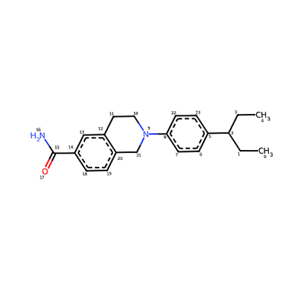 CCC(CC)c1ccc(N2CCc3cc(C(N)=O)ccc3C2)cc1